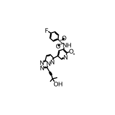 COc1ncc(-c2ccc3nnc(C#CC(C)(C)O)n3n2)cc1NS(=O)(=O)c1ccc(F)cc1